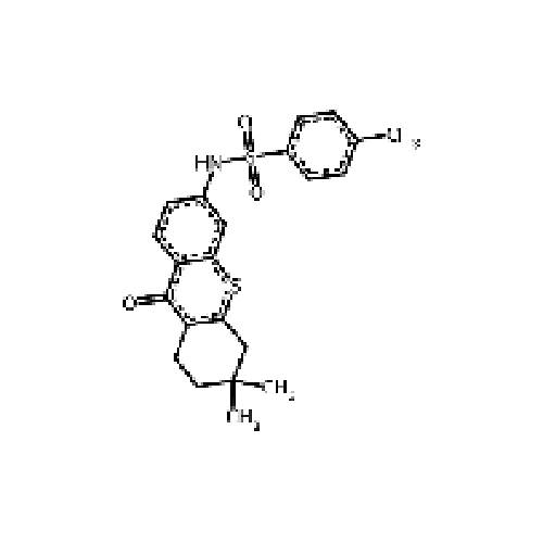 Cc1ccc(S(=O)(=O)Nc2ccc3c(=O)c4c(sc3c2)CC(C)(C)CC4)cc1